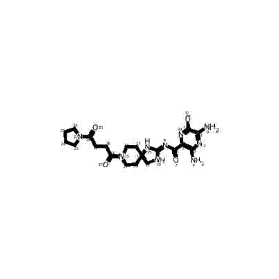 Nc1nc(N)c(C(=O)/N=C2\NCC3(CCN(C(=O)CCC(=O)N4CCCC4)CC3)N2)nc1Cl